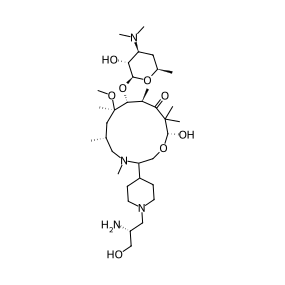 CO[C@]1(C)C[C@@H](C)CN(C)C(C2CCN(C[C@@H](N)CO)CC2)CO[C@@H](O)C(C)(C)C(=O)[C@H](C)[C@H]1O[C@@H]1O[C@H](C)C[C@H](N(C)C)[C@H]1O